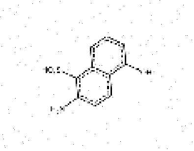 Nc1ccc2c(O)cccc2c1S(=O)(=O)O